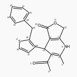 CC(=O)C1=C(C)NC2=C(C(=O)OC2)C1c1ccsc1Cc1ccccc1